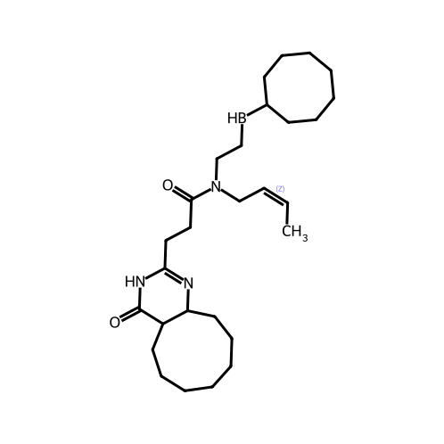 C/C=C\CN(CCBC1CCCCCCC1)C(=O)CCC1=NC2CCCCCCCC2C(=O)N1